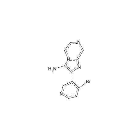 Nc1c(-c2cnccc2Br)nc2cnccn12